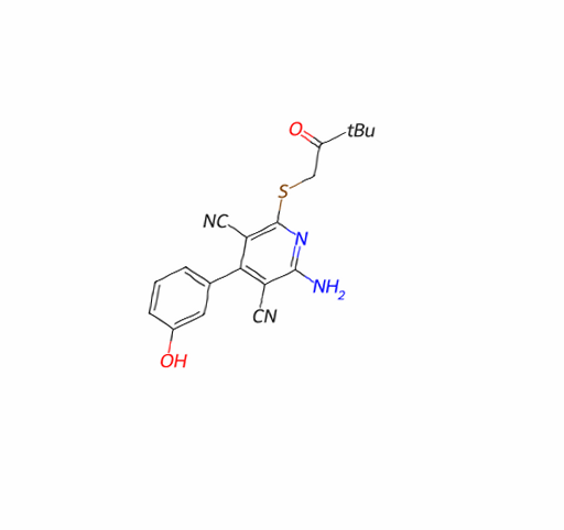 CC(C)(C)C(=O)CSc1nc(N)c(C#N)c(-c2cccc(O)c2)c1C#N